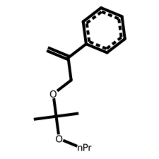 C=C(COC(C)(C)OCCC)c1ccccc1